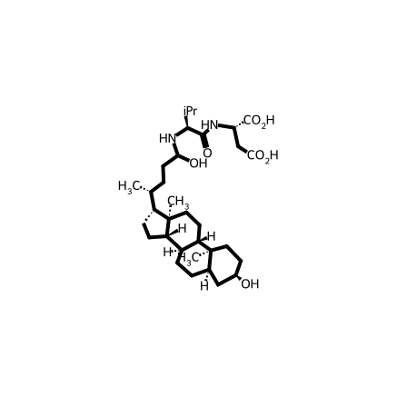 CC(C)[C@H](NC(O)CC[C@@H](C)[C@H]1CC[C@H]2[C@@H]3CC[C@@H]4C[C@H](O)CC[C@]4(C)[C@H]3CC[C@]12C)C(=O)N[C@@H](CC(=O)O)C(=O)O